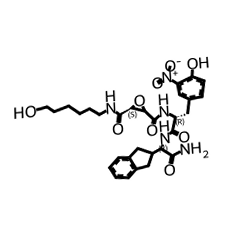 NC(=O)[C@H](NC(=O)[C@@H](Cc1ccc(O)c([N+](=O)[O-])c1)NC(=O)C1O[C@@H]1C(=O)NCCCCCCO)C1Cc2ccccc2C1